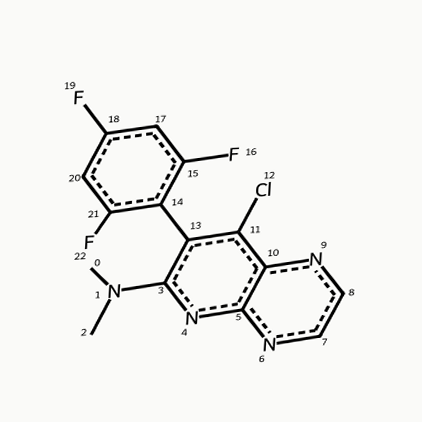 CN(C)c1nc2nccnc2c(Cl)c1-c1c(F)cc(F)cc1F